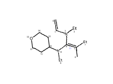 C=CN(CC)/C(=C(/C)CC)N(CC)C1CCOCC1